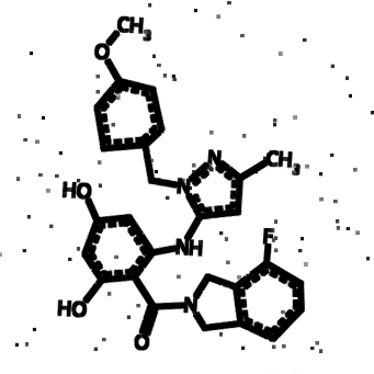 COc1ccc(Cn2nc(C)cc2Nc2cc(O)cc(O)c2C(=O)N2Cc3cccc(F)c3C2)cc1